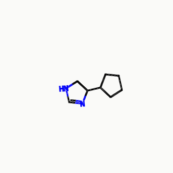 C1=NC(C2CCCC2)CN1